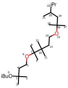 CC(C)COC(C)(C)CCOC(C)(C)C(C)(C)CCOC(C)(C)CC(C)C(C)C